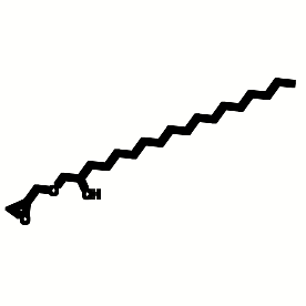 CCCCCCCCCCCCCCCCC(O)COCC1CO1